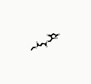 CCOC(=O)/C=C/C(=O)OCC1NC(=O)CC1=O